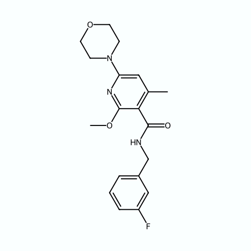 COc1nc(N2CCOCC2)cc(C)c1C(=O)NCc1cccc(F)c1